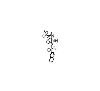 CCOC(=O)c1sc(NC(=O)CCNC(=O)c2ccc3c(c2)CCCC3)nc1C